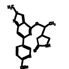 COc1ccc(-c2cc3nn(C)cc3c(OC(C)C3CNC(=O)C3)n2)cn1